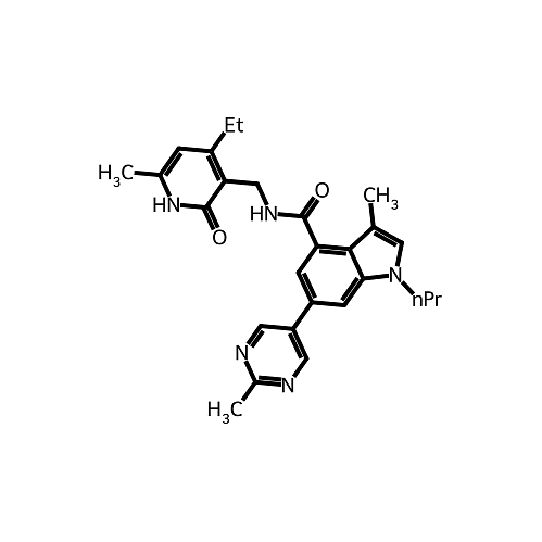 CCCn1cc(C)c2c(C(=O)NCc3c(CC)cc(C)[nH]c3=O)cc(-c3cnc(C)nc3)cc21